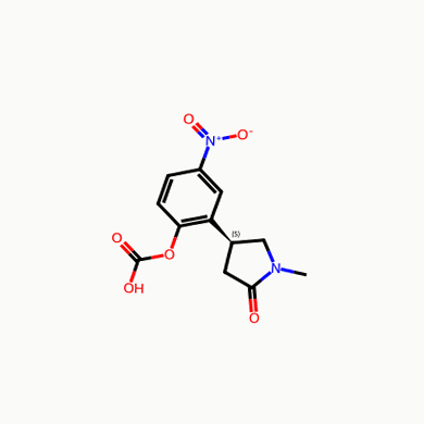 CN1C[C@H](c2cc([N+](=O)[O-])ccc2OC(=O)O)CC1=O